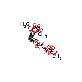 CCOP(=O)(OCC)C([O-])([O-])C=O.CCOP(=O)(OCC)C([O-])([O-])C=O.[Li+].[Li+].[Li+].[Li+].[Li+].[Li+].[Li+].[O-]B([O-])[O-]